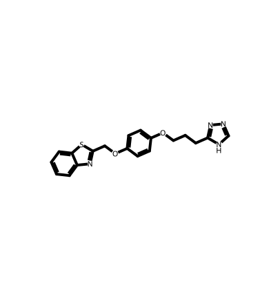 c1ccc2sc(COc3ccc(OCCCc4nnc[nH]4)cc3)nc2c1